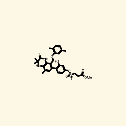 COC(=O)CCS(=O)(=O)Oc1ccc(-c2cc(C)c3c(c2COc2cc(F)ccc2C)NC(=O)C(C)(C)N3)c(OC)c1